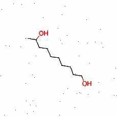 [CH2]C(O)CCCCCCCCO